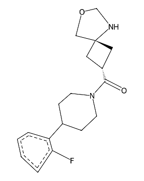 O=C([C@H]1C[C@]2(COCN2)C1)N1CCC(c2ccccc2F)CC1